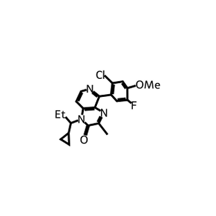 CCC(C1CC1)n1c(=O)c(C)nc2c(-c3cc(F)c(OC)cc3Cl)nccc21